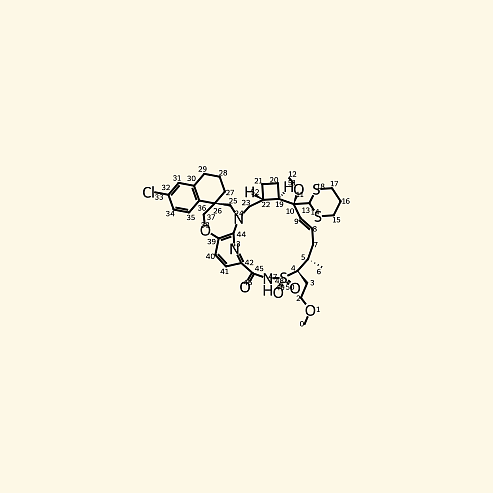 COCC[C@@H]1[C@@H](C)C/C=C/[C@@](OC)(C2SCCCS2)[C@@H]2CC[C@H]2CN2C[C@@]3(CCCc4cc(Cl)ccc43)COc3ccc(nc32)C(=O)NS1(=O)=O